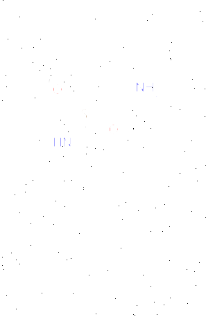 NCS(=O)(=O)Nc1ccccc1